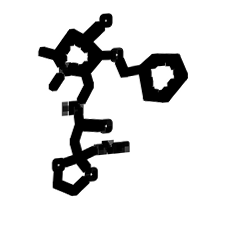 CCCCCCCCCC1(CC(=O)NCc2c(OCc3ccccc3)c(=O)cc(C)n2C)OCCO1